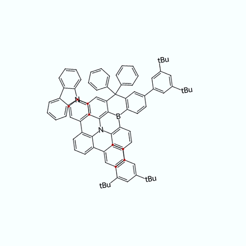 CC(C)(C)c1cc(-c2ccc3c(c2)N(c2c(-c4ccccc4)cccc2-c2ccccc2)c2cc(-n4c5ccccc5c5ccccc54)cc4c2B3c2ccc(-c3cc(C(C)(C)C)cc(C(C)(C)C)c3)cc2C4(c2ccccc2)c2ccccc2)cc(C(C)(C)C)c1